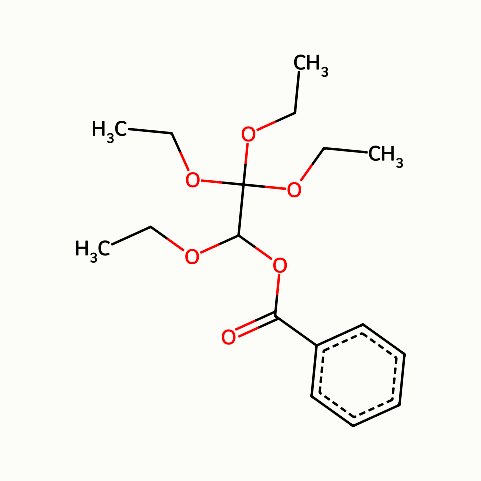 CCOC(OC(=O)c1ccccc1)C(OCC)(OCC)OCC